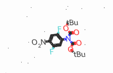 CC(C)(C)OC(=O)N(C(=O)OC(C)(C)C)c1cc(F)c([N+](=O)[O-])cc1F